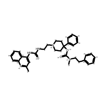 Cc1cc(NC(=O)NCCN2CCC(OC(=O)N(C)CCc3ccccc3)(c3ccccc3)CC2)c2ccccc2n1